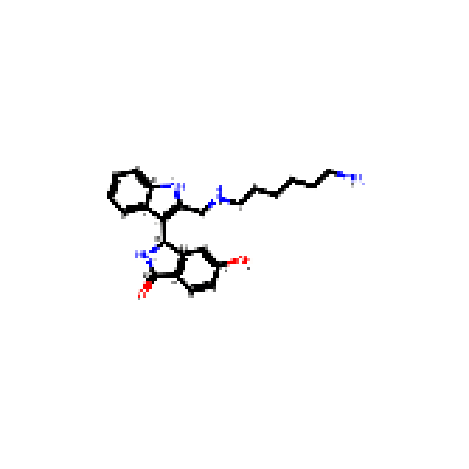 NCCCCCCNCc1[nH]c2ccccc2c1C1NC(=O)c2ccc(O)cc21